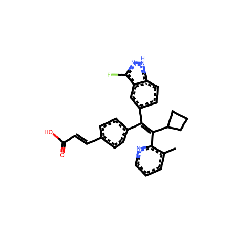 Cc1cccnc1/C(=C(\c1ccc(/C=C/C(=O)O)cc1)c1ccc2[nH]nc(F)c2c1)C1CCC1